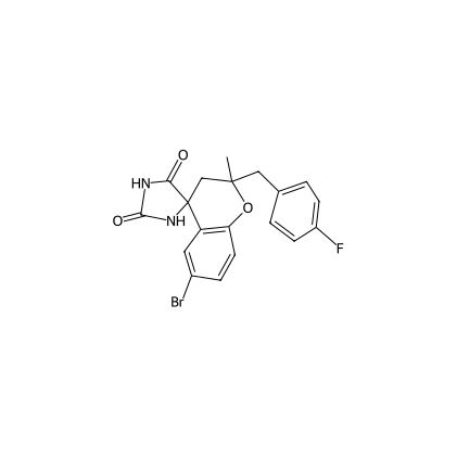 CC1(Cc2ccc(F)cc2)CC2(NC(=O)NC2=O)c2cc(Br)ccc2O1